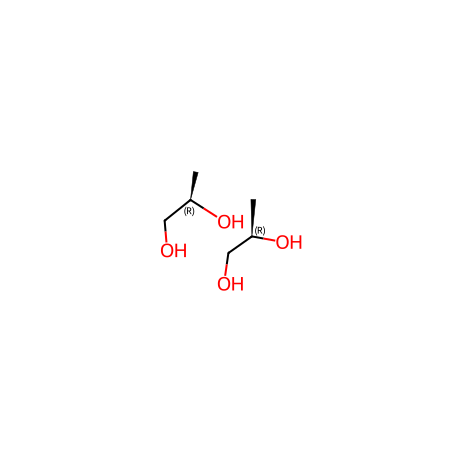 C[C@@H](O)CO.C[C@@H](O)CO